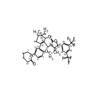 COc1ccc(N2CCCCC2=O)cc1C1=C(CN2C(=O)O[C@H](c3cc(C(F)(F)F)cc(C(F)(F)F)c3)[C@@H]2C)CC(C)(C)CC1